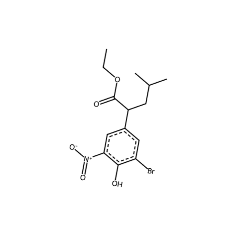 CCOC(=O)C(CC(C)C)c1cc(Br)c(O)c([N+](=O)[O-])c1